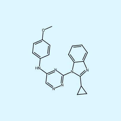 COc1ccc(Nc2cnnc(-n3c(C4CC4)nc4ccccc43)n2)cc1